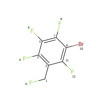 FCc1c(F)c(F)c(F)c(Br)c1F